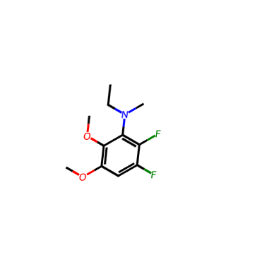 CCN(C)c1c(F)c(F)cc(OC)c1OC